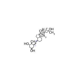 C=C1/C(=C\C=C2/CCCC3(C)C2CC[C@@H]3[C@H](C)OCCC(C)(C)O)C[C@@H](O)CC1O